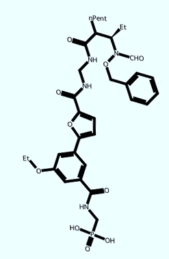 CCCCCC(C(=O)NCNC(=O)c1ccc(-c2cc(OCC)cc(C(=O)NCP(=O)(O)O)c2)o1)[C@@H](CC)N(C=O)OCc1ccccc1